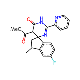 COC(=O)C1C(=O)NC(c2ccccn2)=NC12CC(C)c1cc(F)ccc12